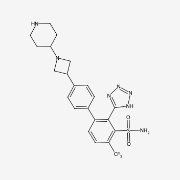 NS(=O)(=O)c1c(C(F)(F)F)ccc(-c2ccc(C3CN(C4CCNCC4)C3)cc2)c1-c1nnn[nH]1